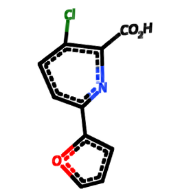 O=C(O)c1nc(-c2ccco2)ccc1Cl